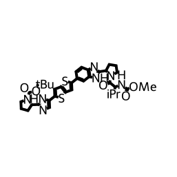 COC(=O)NC(C(=O)N1CCCC1c1nc2ccc(-c3cc4sc(-c5cnc(C6CCCN6C(=O)OC(C)(C)C)[nH]5)cc4s3)cc2[nH]1)C(C)C